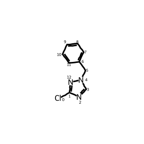 Clc1ncn(Cc2ccccc2)n1